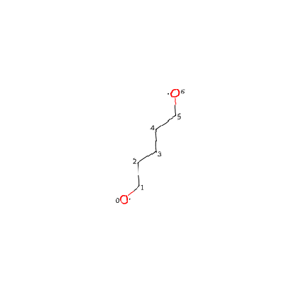 [O]CCCCC[O]